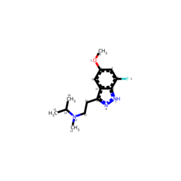 COc1cc(F)c2[nH]nc(CCN(C)C(C)C)c2c1